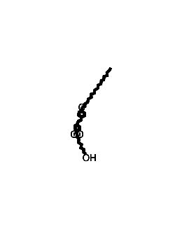 CCCCCCCCCCCCCCCCCCOc1ccc(C=Cc2ccc(S(=O)(=O)CCCCCCCCO)cc2)cc1